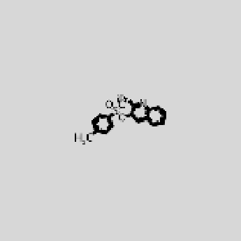 Cc1ccc(S(=O)(=O)Oc2cc3ccccc3nc2C(C)C)cc1